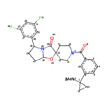 CNC1(c2cccc(C(=O)N3CCC4(CC3)OC3CCC(c5cc(F)cc(F)c5)N3C4=O)c2)CC1